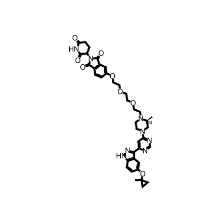 C[C@H]1CN(c2cc(-c3n[nH]c4ccc(OC5(C)CC5)cc34)ncn2)CCN1CCOCCOCCOc1ccc2c(c1)C(=O)N(C1CCC(=O)NC1=O)C2=O